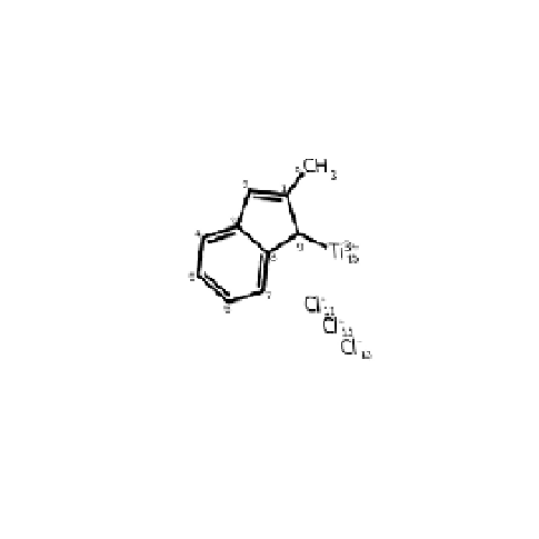 CC1=Cc2ccccc2[CH]1[Ti+3].[Cl-].[Cl-].[Cl-]